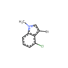 CCc1cn(C)c2cccc(Cl)c12